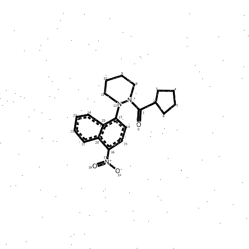 O=C(C1CCCC1)N1CCCCN1c1ccc([N+](=O)[O-])c2ccccc12